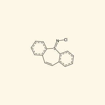 ClN=S1c2ccccc2C=Cc2ccccc21